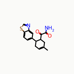 CC1=CCC(c2ccc3scnc3c2)C(C(=O)C(N)=O)C1